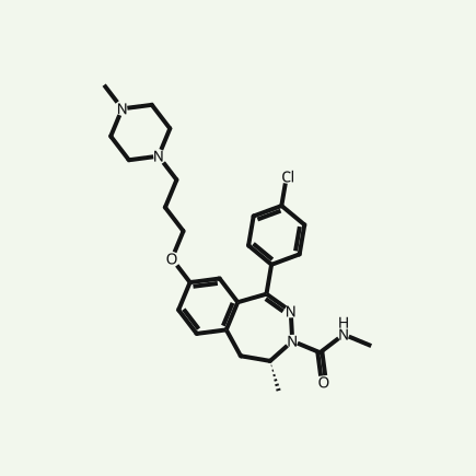 CNC(=O)N1N=C(c2ccc(Cl)cc2)c2cc(OCCCN3CCN(C)CC3)ccc2C[C@H]1C